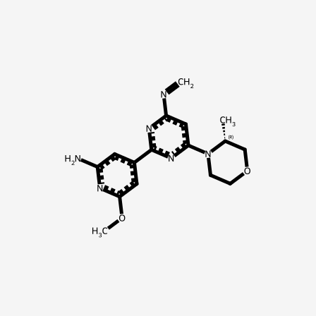 C=Nc1cc(N2CCOC[C@H]2C)nc(-c2cc(N)nc(OC)c2)n1